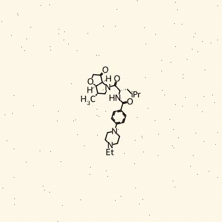 CCN1CCN(c2ccc(C(=O)N[C@@H](CC(C)C)C(=O)N3C[C@@H](C)[C@H]4OCC(=O)[C@H]43)cc2)CC1